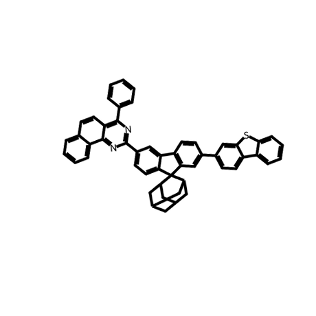 c1ccc(-c2nc(-c3ccc4c(c3)-c3ccc(-c5ccc6c(c5)sc5ccccc56)cc3C43C4CC5CC(C4)CC3C5)nc3c2ccc2ccccc23)cc1